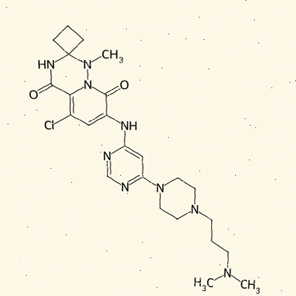 CN(C)CCCN1CCN(c2cc(Nc3cc(Cl)c4n(c3=O)N(C)C3(CCC3)NC4=O)ncn2)CC1